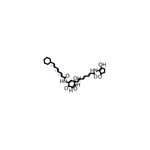 O=C(/C=C/C=C/C=C/C1CCCCC1)NC1=C[C@@](O)(/C=C/C=C/C=C/C(=O)NC2=C(O)CCC2=O)[C@@H]2O[C@@H]2C1=O